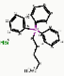 Br.CCCCCCCCCCCCCC[P](c1ccccc1)(c1ccccc1)c1ccccc1